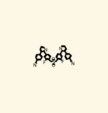 N#Cc1ccc(-c2cccnc2-c2ccc(CS(=O)(=O)Cc3ccc(-c4ncccc4-c4ccc(C#N)cc4)cc3F)c(F)c2)cc1